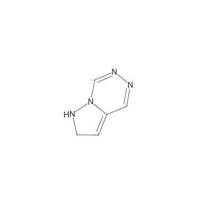 [C]1=NN=CC2=CCNN12